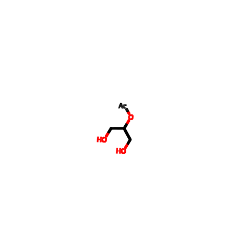 CC(=O)OC(CO)CO